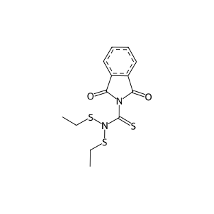 CCSN(SCC)C(=S)N1C(=O)c2ccccc2C1=O